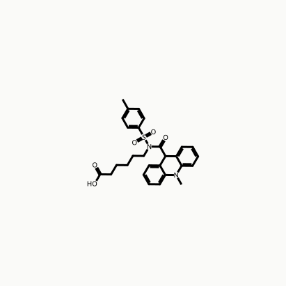 Cc1ccc(S(=O)(=O)N(CCCCCC(=O)O)C(=O)C2c3ccccc3N(C)c3ccccc32)cc1